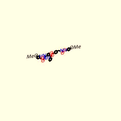 COc1ccc(COC(=O)NCCc2ccc(COc3ccc(C(=N)NC(=O)OCc4ccc(OC)cc4)cc3C(=O)c3ccccc3)cc2)cc1